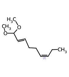 CC/C=C\CCC=CC(OC)OC